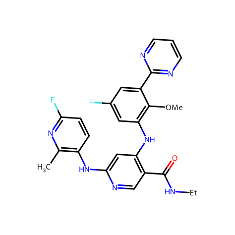 CCNC(=O)c1cnc(Nc2ccc(F)nc2C)cc1Nc1cc(F)cc(-c2ncccn2)c1OC